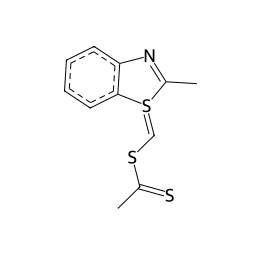 CC(=S)SC=S1C(C)=Nc2ccccc21